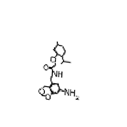 CC1CCC(C(C)C)C(OCC(=O)NCc2cc(N)cc3c2COCO3)C1